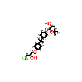 CC(O)C(Oc1ccc(C(C)(C)c2ccc(OCC(O)CCl)cc2)cc1)OC(C)(C)C